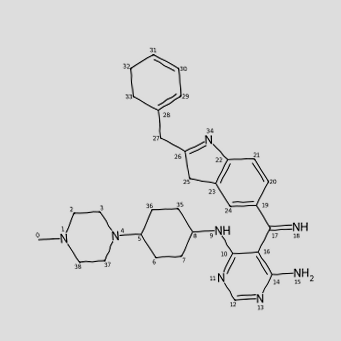 CN1CCN(C2CCC(Nc3ncnc(N)c3C(=N)c3ccc4c(c3)CC(CC3=CC=CCC3)=N4)CC2)CC1